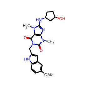 COc1ccc2[nH]c(Cn3c(=O)c4c(nc(N[C@H]5CC[C@@H](O)C5)n4C)n(C)c3=O)cc2c1